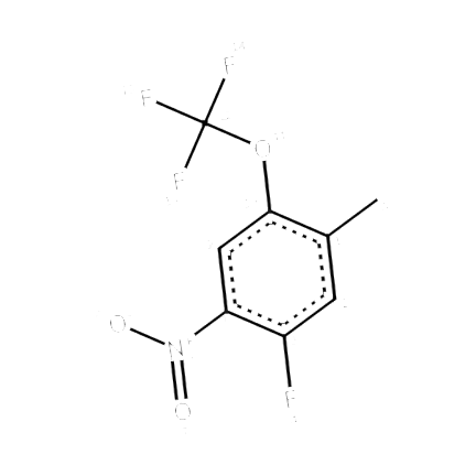 Cc1cc(F)c([N+](=O)[O-])cc1OC(F)(F)F